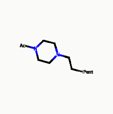 CCCC(C)CCN1CCN(C(C)=O)CC1